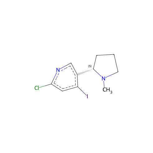 CN1CCC[C@H]1c1cnc(Cl)cc1I